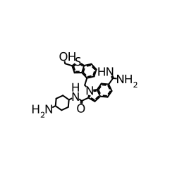 N=C(N)c1ccc2cc(C(=O)NC3CCC(N)CC3)n(Cc3cccc4sc(CO)cc34)c2c1